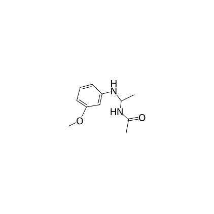 COc1cccc(NC(C)NC(C)=O)c1